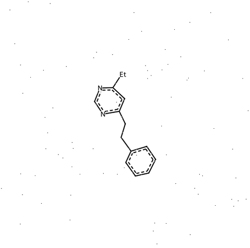 [CH2]Cc1cc(CCc2ccccc2)ncn1